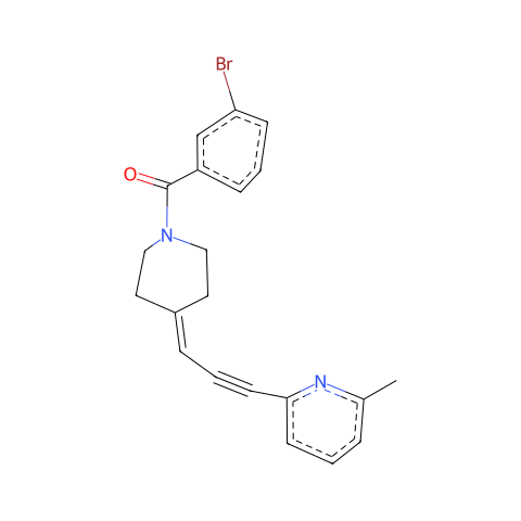 Cc1cccc(C#CC=C2CCN(C(=O)c3cccc(Br)c3)CC2)n1